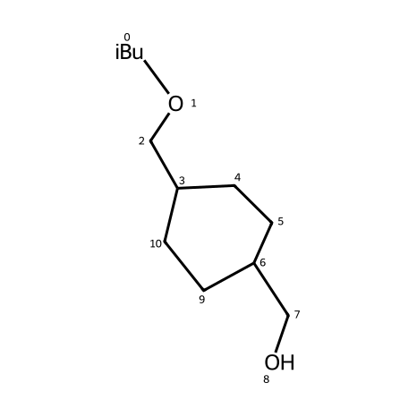 CCC(C)OCC1CCC(CO)CC1